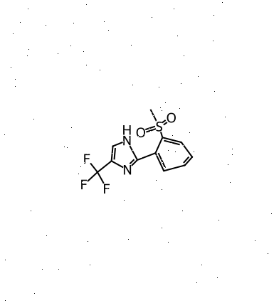 CS(=O)(=O)c1ccccc1-c1nc(C(F)(F)F)c[nH]1